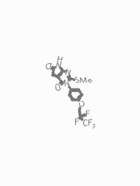 CSc1nc2c(c(=O)n1-c1ccc(OCC(F)(F)C(F)(F)F)cc1)CC(=O)N2